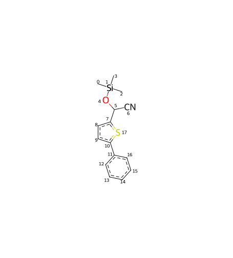 C[Si](C)(C)OC(C#N)c1ccc(-c2ccccc2)s1